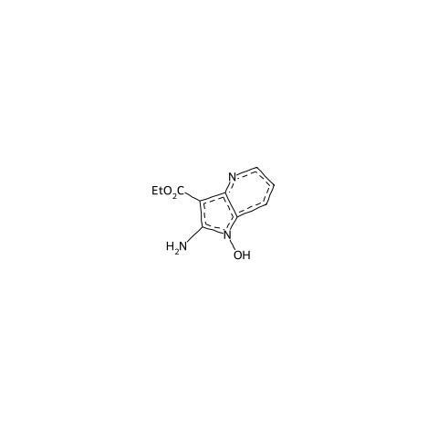 CCOC(=O)c1c(N)n(O)c2cccnc12